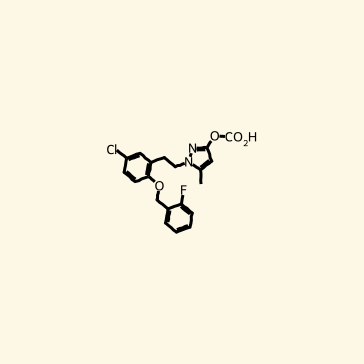 Cc1cc(OC(=O)O)nn1CCc1cc(Cl)ccc1OCc1ccccc1F